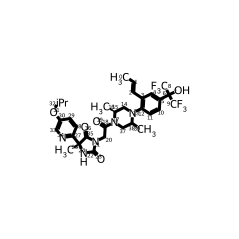 CC=Cc1cc(C(O)(C(F)(F)F)C(F)(F)F)ccc1N1C[C@H](C)N(C(=O)CN2C(=O)N[C@](C)(c3ccc(OC(C)C)cn3)C2=O)CC1C